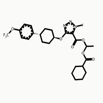 CC(OC(=O)c1c(O[C@H]2CC[C@H](c3ccc(OC(F)(F)F)cc3)CC2)nnn1I)OC(=O)C1CCCCC1